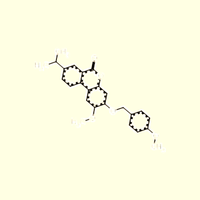 COc1ccc(COc2cc3oc(=O)c4cc(C(C)C)ccc4c3cc2OC)cc1